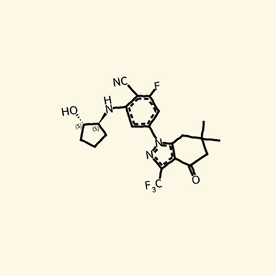 CC1(C)CC(=O)c2c(C(F)(F)F)nn(-c3cc(F)c(C#N)c(N[C@H]4CCC[C@@H]4O)c3)c2C1